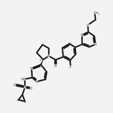 CCOc1cncc(-c2ccc(C(=O)N3CCC[C@@H]3c3ccnc(NS(=O)(=O)C4CC4)n3)c(F)c2)n1